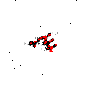 CS(=O)(=O)c1ccc(-c2oc(COc3ccc(C(=O)O)cc3)nc2-c2ccccc2)cc1.CS(=O)(=O)c1ccc(-c2oc(COc3ccc(Cl)cc3)nc2-c2ccccc2)cc1.CS(=O)(=O)c1ccc(-c2oc(COc3ccc(F)cc3)nc2-c2ccccc2)cc1.CS(=O)(=O)c1ccc(-c2oc(COc3ccccc3)nc2-c2ccccc2)cc1